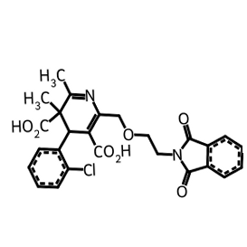 CC1=NC(COCCN2C(=O)c3ccccc3C2=O)=C(C(=O)O)C(c2ccccc2Cl)C1(C)C(=O)O